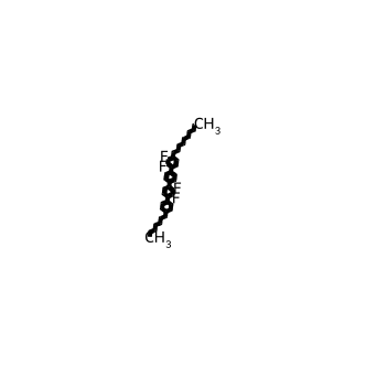 CCCCCCCCCCc1ccc(-c2ccc(-c3ccc(C4=CCC(CCCCCCC)CC4)c(F)c3F)cc2)c(F)c1F